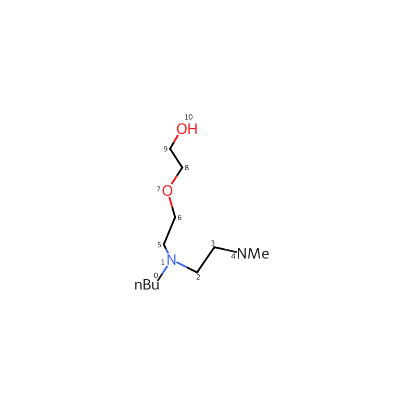 CCCCN(CCNC)CCOCCO